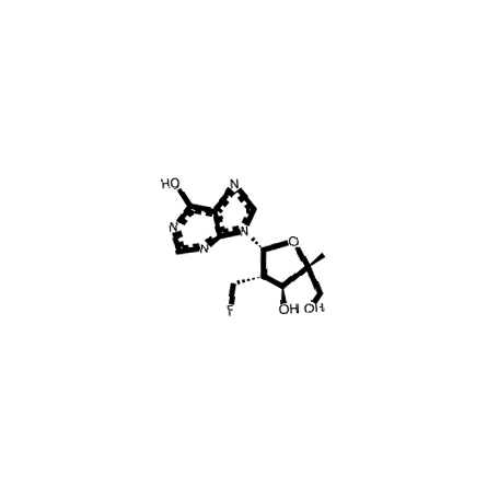 C[C@]1(CO)O[C@@H](n2cnc3c(O)ncnc32)[C@@H](CF)[C@@H]1O